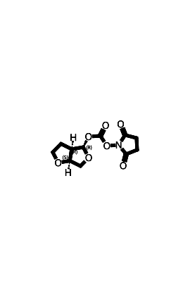 O=C(O[C@H]1OC[C@H]2OCC[C@@H]12)ON1C(=O)CCC1=O